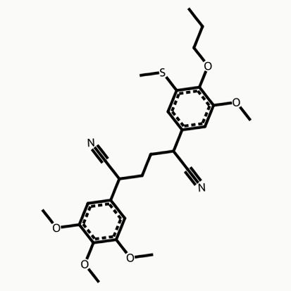 CCCOc1c(OC)cc(C(C#N)CCC(C#N)c2cc(OC)c(OC)c(OC)c2)cc1SC